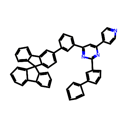 c1ccc(-c2cccc(-c3nc(-c4ccncc4)cc(-c4cccc(-c5ccc6c(c5)-c5ccccc5C65c6ccccc6-c6ccccc65)c4)n3)c2)cc1